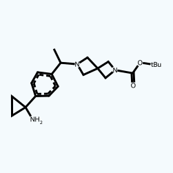 CC(c1ccc(C2(N)CC2)cc1)N1CC2(CN(C(=O)OC(C)(C)C)C2)C1